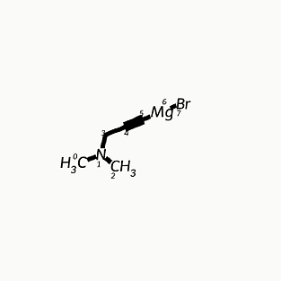 CN(C)CC#[C][Mg][Br]